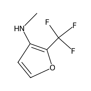 CNc1ccoc1C(F)(F)F